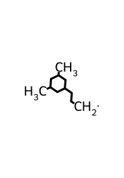 [CH2]CCC1CC(C)CC(C)C1